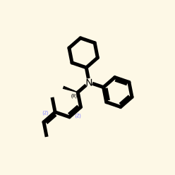 C/C=C(C)\C=C/[C@@H](C)N(c1ccccc1)C1CCCCC1